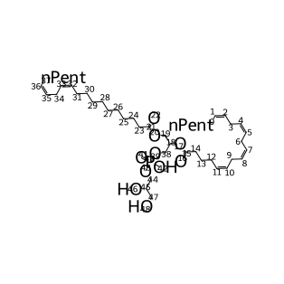 CCCCC/C=C\C/C=C\C/C=C\C/C=C\CCCC(=O)O[C@H](COC(=O)CCCCCCCCC/C=C\C/C=C\CCCCC)COP(=O)(O)OC[C@@H](O)CO